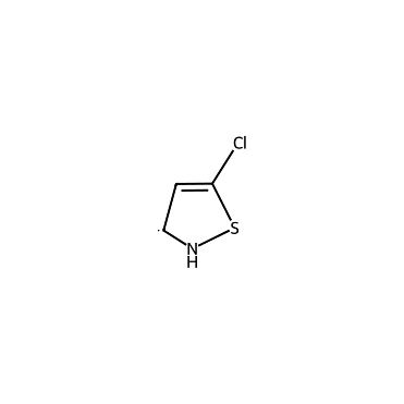 ClC1=C[CH]NS1